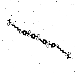 C=C(C)C(=O)OCCCCCCOc1ccc(C(=O)Oc2ccc(CCOC(=O)c3ccc(OC(=O)c4ccc(OCCCCCCOC(=O)C(=C)C)cc4)cc3)cc2)cc1